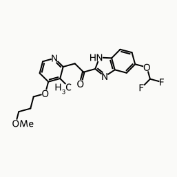 COCCCOc1ccnc(CC(=O)c2nc3cc(OC(F)F)ccc3[nH]2)c1C